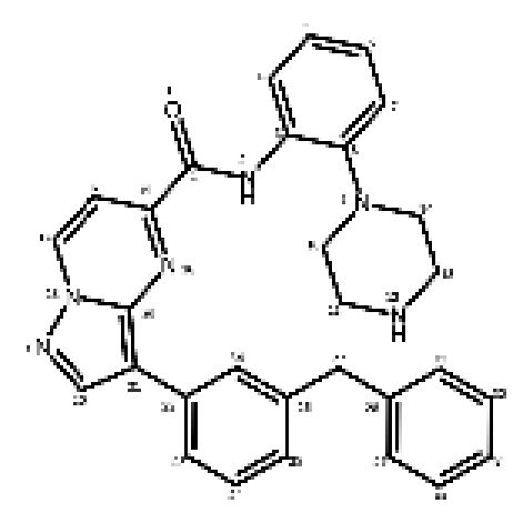 O=C(Nc1ccccc1N1CCNCC1)c1ccn2ncc(-c3cccc(Cc4ccccc4)c3)c2n1